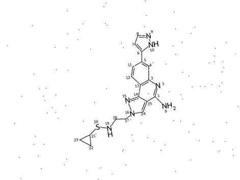 Nc1nc2cc(-c3ccn[nH]3)ccc2c2nn(CCNSC3CC3)cc12